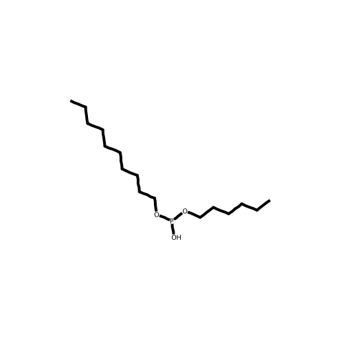 CCCCCCCCCCOP(O)OCCCCCC